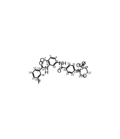 O=C(Nc1ccc(Cl)c(NC(=O)c2cccc(F)c2)c1)c1ccc(N2COCCS2(=O)=O)cc1